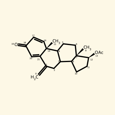 C=C1CC2C(CC[C@@]3(C)C2CC[C@@H]3OC(C)=O)[C@@]2(C)C=CC(=O)C=C12